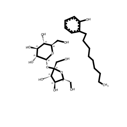 CCCCCCCCCc1ccccc1O.OC[C@H]1O[C@@](CO)(O[C@H]2O[C@H](CO)[C@@H](O)[C@H](O)[C@H]2O)[C@@H](O)[C@@H]1O